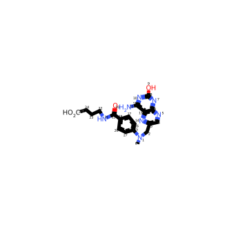 CN(Cc1cnc2nc(O)nc(N)c2n1)c1ccc(C(=O)NCCCC(=O)O)cc1